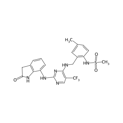 Cc1ccc(NS(C)(=O)=O)c(CNc2nc(Nc3cccc4c3NC(=O)C4)ncc2C(F)(F)F)c1